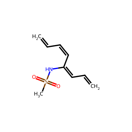 C=C/C=C\C(=C/C=C)NS(C)(=O)=O